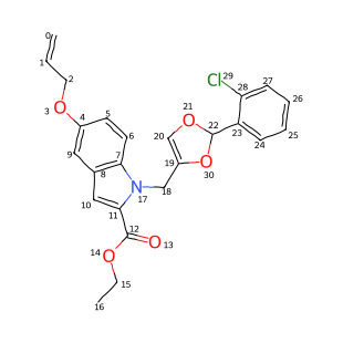 C=CCOc1ccc2c(c1)cc(C(=O)OCC)n2CC1=COC(c2ccccc2Cl)O1